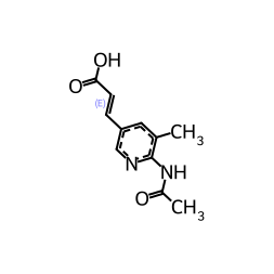 CC(=O)Nc1ncc(/C=C/C(=O)O)cc1C